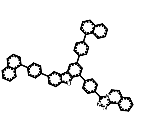 c1ccc2c(-c3ccc(-c4ccc5oc6c(-c7ccc(-c8nnc9c%10ccccc%10ccn89)cc7)cc(-c7ccc(-c8cccc9ccccc89)cc7)cc6c5c4)cc3)cccc2c1